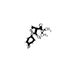 CN(C)C(=O)c1cnn(-c2ccc(Br)cc2)c1C#N